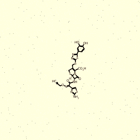 C#CCO/N=C(\C(=O)N[C@@H]1C(=O)N2C(C(=O)O)=C(CSc3nnc(-c4ccc(O)c(O)c4)s3)CS[C@H]12)c1csc(N)n1